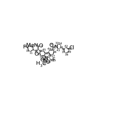 CNC(=O)c1c(-c2ccc(F)cc2)oc2cc(N(CCF)S(C)(=O)=O)c(-c3cccc(C(=O)N4CCC(c5cccc(Cl)c5)C4)c3)cc12